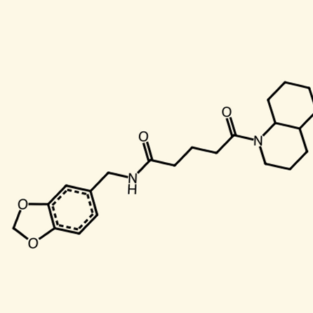 O=C(CCCC(=O)N1CCCC2CCCCC21)NCc1ccc2c(c1)OCO2